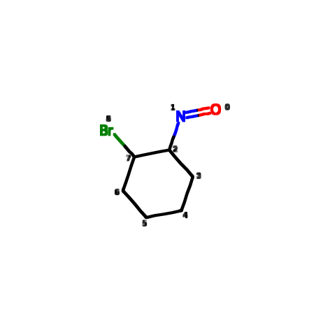 O=NC1CCCCC1Br